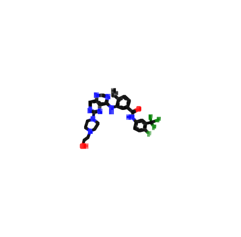 Cc1ccc(C(=O)Nc2ccc(F)c(C(F)(F)F)c2)cc1Nc1ncnc2cnc(N3CCN(CCO)CC3)nc12